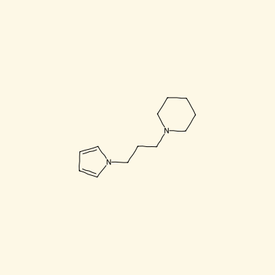 c1ccn(CCCN2CCCCC2)c1